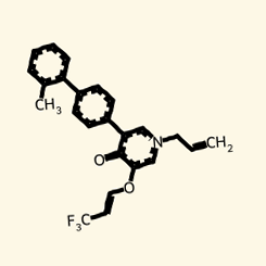 C=CCn1cc(OC=CC(F)(F)F)c(=O)c(-c2ccc(-c3ccccc3C)cc2)c1